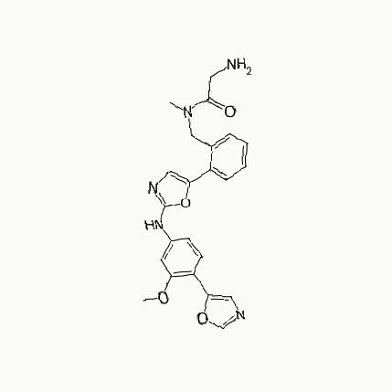 COc1cc(Nc2ncc(-c3ccccc3CN(C)C(=O)CN)o2)ccc1-c1cnco1